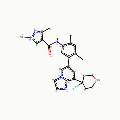 Cc1cc(C)c(-c2cc(C3(F)CCOCC3)c3nccn3c2)cc1NC(=O)c1cn(C(C)(C)C)nc1C